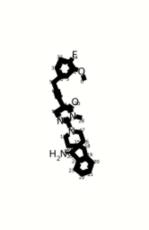 COc1cc(CC#Cc2cnc(N3CCC4(CC3)Cc3ccccc3[C@H]4N)n(C)c2=O)ccc1F